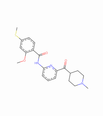 COc1cc(SC)ccc1C(=O)Nc1cccc(C(=O)C2CCN(C)CC2)n1